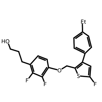 CCc1ccc(-c2cc(F)sc2COc2ccc(CCCO)c(F)c2F)cc1